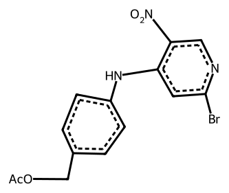 CC(=O)OCc1ccc(Nc2cc(Br)ncc2[N+](=O)[O-])cc1